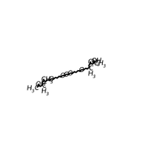 CC(O)CC(C)CC(C)CCCOCCCCCOCOCOCCCCCOCCCC(C)CC(C)CC(C)O